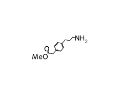 COC(=O)Cc1ccc(CCCN)cc1